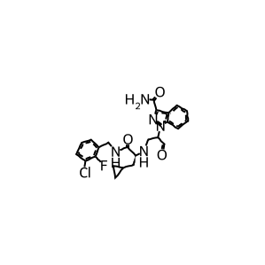 NC(=O)c1nn(C(C=O)CN[C@@H](CC2CC2)C(=O)NCc2cccc(Cl)c2F)c2ccccc12